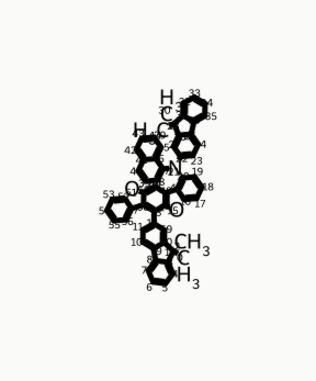 CC1(C)c2ccccc2-c2ccc(-c3c4oc5cccc(N(c6ccc7c(c6)C(C)(C)c6ccccc6-7)c6cccc7ccccc67)c5c4cc4oc5ccccc5c34)cc21